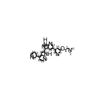 CN(C)CCOc1cncc(-c2cnc3[nH]nc(-c4cc5c(-c6cccnc6)ccnc5[nH]4)c3c2)c1